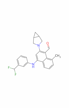 Cc1cccc2c(Nc3cccc(C(F)F)c3)cc(N3CC4CC4C3)c(C=O)c12